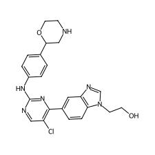 OCCn1cnc2cc(-c3nc(Nc4ccc(C5CNCCO5)cc4)ncc3Cl)ccc21